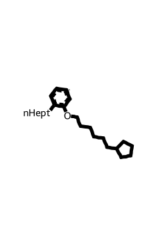 CCCCCCCc1cc[c]cc1OCCCCCCC1CCCC1